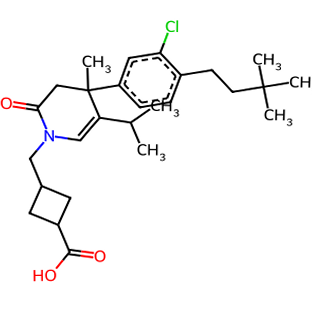 CC(C)C1=CN(CC2CC(C(=O)O)C2)C(=O)CC1(C)c1ccc(CCC(C)(C)C)c(Cl)c1